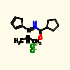 C[SiH](C)[Ti+2]([NH]C(=O)C1CCCC1)[C]1=CC=CC1.[Cl-].[Cl-]